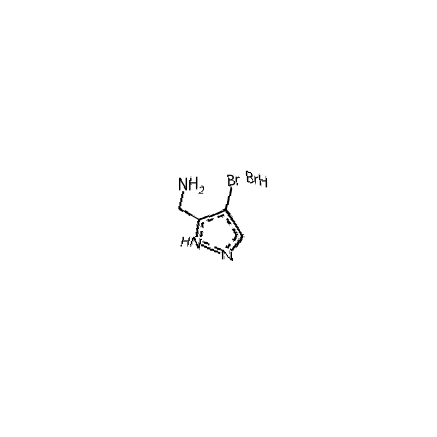 Br.NCc1[nH]ncc1Br